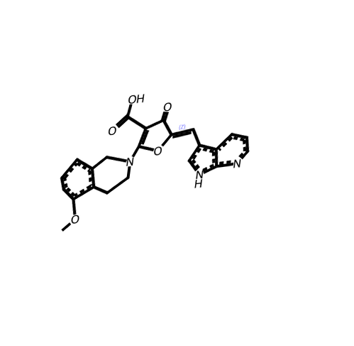 COc1cccc2c1CCN(C1=C(C(=O)O)C(=O)/C(=C/c3c[nH]c4ncccc34)O1)C2